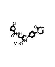 COc1nn(-c2ccc(N3CCOCC3=O)cc2)cc1CNC(=O)c1ccc(Cl)s1